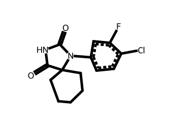 O=C1NC(=O)C2(CCCCC2)N1c1ccc(Cl)c(F)c1